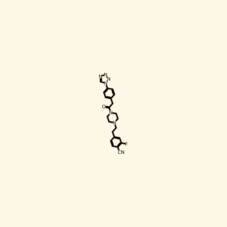 N#Cc1ccc(CCN2CCN(C(=O)Cc3ccc(-n4cnnn4)cc3)CC2)cc1F